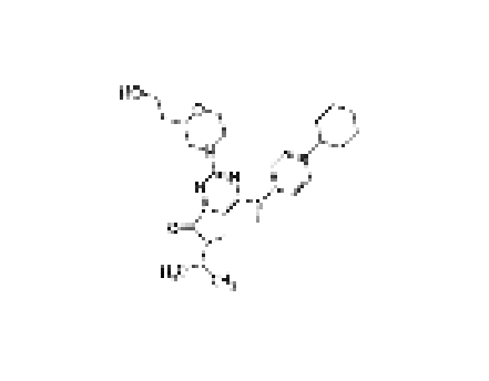 CC(C)C1Cc2c(Nc3ccc(C4CCCCC4)cc3)nc(N3CCOC(CCO)C3)nc2C1=O